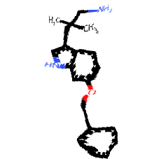 CC(C)(CN)c1c[nH]c2cc(OCc3ccccc3)ccc12